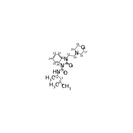 CC(C)CC(C)NC(=O)n1c(=O)n(CCN2CCOCC2)c2ccccc21